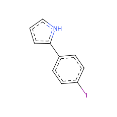 Ic1ccc(-c2ccc[nH]2)cc1